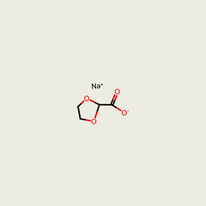 O=C([O-])C1OCCO1.[Na+]